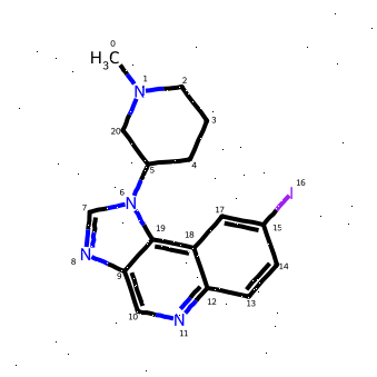 CN1CCCC(n2cnc3cnc4ccc(I)cc4c32)C1